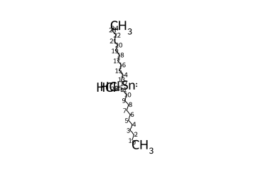 CCCCCCCCCCC[CH2][Sn][CH2]CCCCCCCCCCC.Cl.Cl